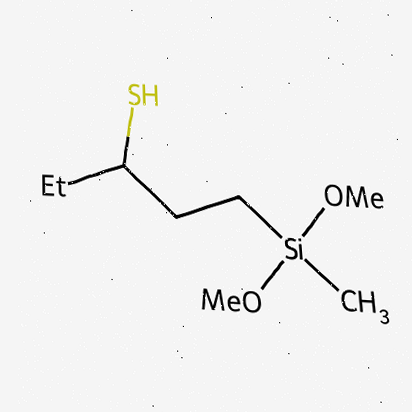 CCC(S)CC[Si](C)(OC)OC